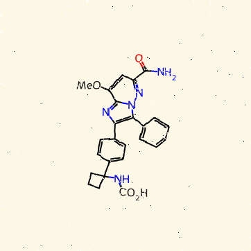 COc1cc(C(N)=O)nn2c(-c3ccccc3)c(-c3ccc(C4(NC(=O)O)CCC4)cc3)nc12